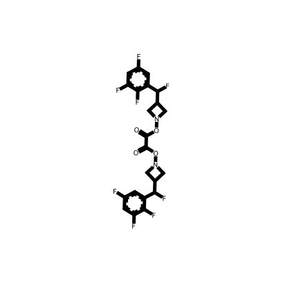 O=C(ON1CC(C(F)c2cc(F)cc(F)c2F)C1)C(=O)ON1CC(C(F)c2cc(F)cc(F)c2F)C1